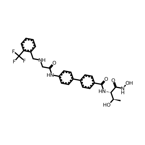 C[C@@H](O)[C@H](NC(=O)c1ccc(-c2ccc(NC(=O)CNCc3ccccc3C(F)(F)F)cc2)cc1)C(=O)NO